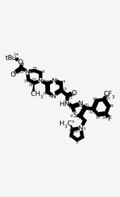 C[C@@H]1CCCN1Cc1sc(NC(=O)c2cnc(N3CCN(C(=O)OC(C)(C)C)C[C@@H]3C)cn2)nc1-c1cc(F)cc(C(F)(F)F)c1